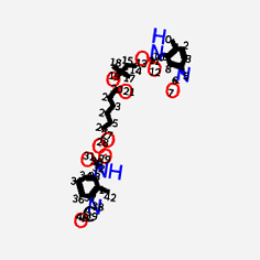 Cc1ccc(N=C=O)cc1NC(=O)OCCC(C)(C)OC(=O)CCCCCOOOC(=O)Nc1cccc(N=C=O)c1C